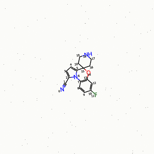 N#Cc1ccc2n1-c1ccc(F)cc1OC21CCNCC1